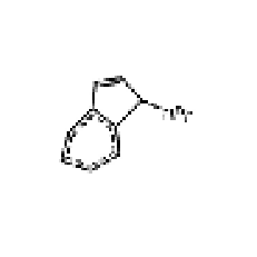 CCC[C]1C=Cc2ccccc21